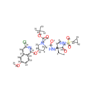 C=C[C@@](CC)(NC(=O)[C@@H]1C[C@@H](Oc2nc(Cl)cc3cc(OC)ccc23)CN1C(=O)OC(C)(C)C)C(=O)NS(=O)(=O)C1CC1